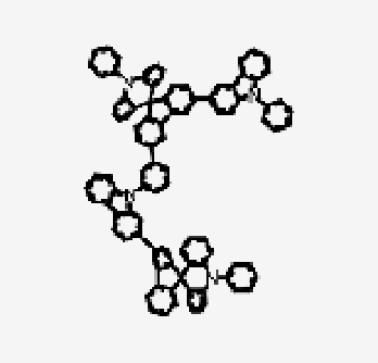 c1ccc(N2c3ccccc3C3(c4ccccc4-c4cc(-c5ccc6c7ccccc7n(-c7cccc(-c8ccc9c(c8)-c8cc(-c%10ccc%11c(c%10)c%10ccccc%10n%11-c%10ccccc%10)ccc8C98c9ccccc9N(c9ccccc9)c9ccccc98)c7)c6c5)ccc43)c3ccccc32)cc1